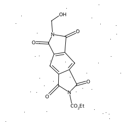 CCOC(=O)n1c(=O)c2cc3c(=O)n(CO)c(=O)c3cc2c1=O